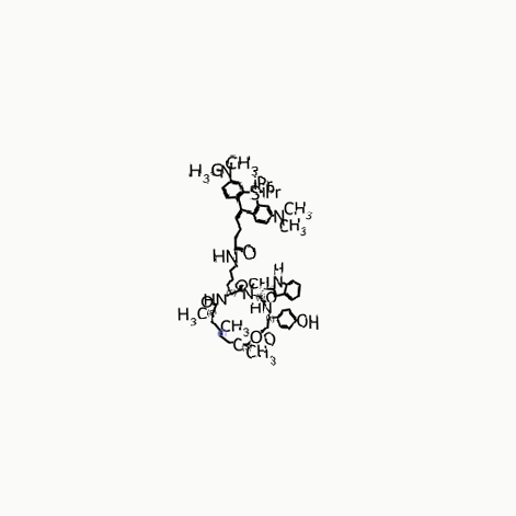 C/C1=C\CC[C@H](C)OC(=O)C[C@H](c2ccc(O)cc2)NC(=O)[C@@H](Cc2cc3ccccc3[nH]2)N(C)C(=O)[C@H](CCCCNC(=O)CCC=C2c3ccc(N(C)C)cc3S(C(C)C)(C(C)C)c3cc(N(C)C)ccc32)NC(=O)[C@@H](C)C1